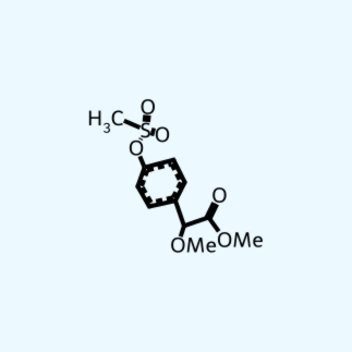 COC(=O)C(OC)c1ccc(OS(C)(=O)=O)cc1